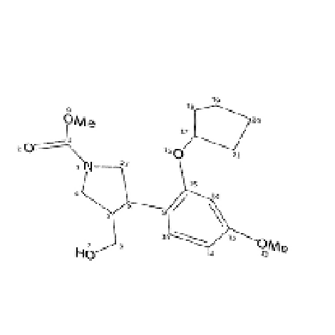 COC(=O)N1CC(CO)C(c2ccc(OC)cc2OC2CCCC2)C1